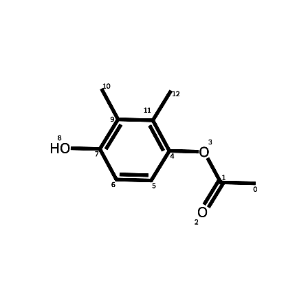 CC(=O)Oc1ccc(O)c(C)c1C